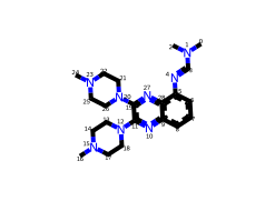 CN(C)C=Nc1cccc2nc(N3CCN(C)CC3)c(N3CCN(C)CC3)nc12